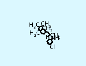 C=C(CC1=CCC(C)(CC(C)C(=C)C)C=C1)/N=C1/C=CC(Cl)=CC1=N